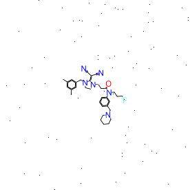 Cc1cc(C)cc(CN2CCN(CCC(=O)N(CCCF)c3cccc(CN4CCCCC4)c3)C2=C(C#N)C#N)c1